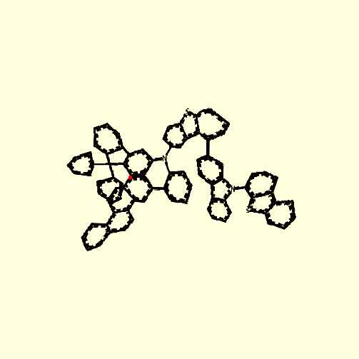 c1ccc(C2(c3ccccc3)c3ccccc3-c3cc(N(c4ccc5sc6cccc(-c7ccc8c9ccccc9n(-c9cccc%10c9sc9ccccc9%10)c8c7)c6c5c4)c4ccccc4-c4ccc5ccc6c7ccccc7ccc6c5c4)ccc32)cc1